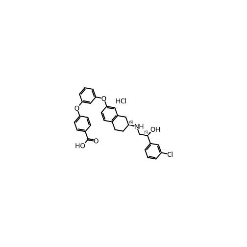 Cl.O=C(O)c1ccc(Oc2cccc(Oc3ccc4c(c3)C[C@@H](NC[C@@H](O)c3cccc(Cl)c3)CC4)c2)cc1